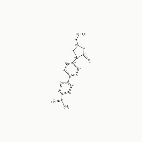 N=C(N)c1ccc(-c2ccc(N3CC(CC(=O)O)CC3=O)cc2)cc1